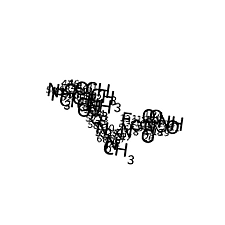 CN(C[C@@H]1CCN(c2cc3c(cc2F)C(=O)N(C2CCC(=O)NC2=O)C3=O)C1)C1CCN(c2ccc(C(=O)NC3C(C)(C)C(Oc4ccc(C#N)c(Cl)c4)C3(C)C)cc2)CC1